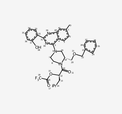 Cc1ccc2c(N3CCN(C(=O)[C@@H](CC(C)C)OC(=O)C(F)(F)F)[C@@H](COCc4ccccc4)C3)nc(-c3ccccc3O)nc2c1